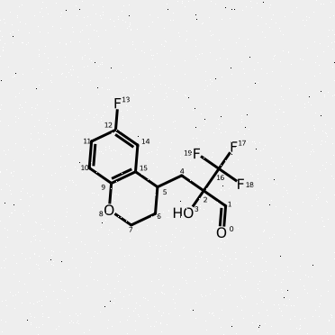 O=CC(O)(CC1CCOc2ccc(F)cc21)C(F)(F)F